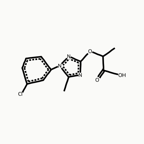 Cc1nc(OC(C)C(=O)O)nn1-c1cccc(Cl)c1